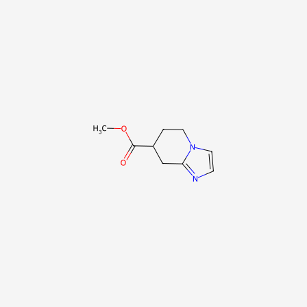 COC(=O)C1CCn2ccnc2C1